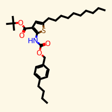 CCCCCCCCCCc1cc(C(=O)OC(C)(C)C)c(NC(=O)OCc2ccc(CCCC)cc2)s1